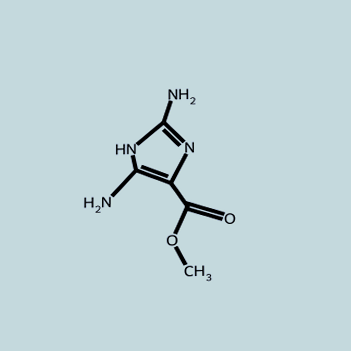 COC(=O)c1nc(N)[nH]c1N